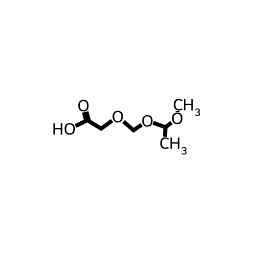 COC(C)OCOCC(=O)O